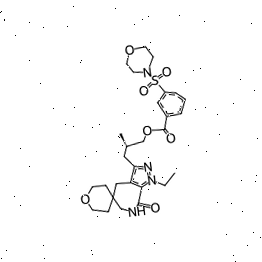 CCn1nc(C[C@@H](C)COC(=O)c2cccc(S(=O)(=O)N3CCOCC3)c2)c2c1C(=O)NCC1(CCOCC1)C2